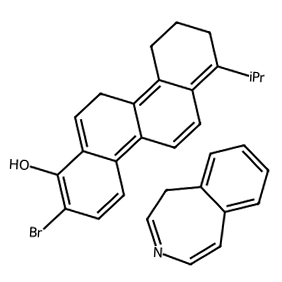 C1=Cc2ccccc2CC=N1.CC(C)C1=c2ccc3c(c2CCC1)CC=c1c(O)c(Br)ccc1=3